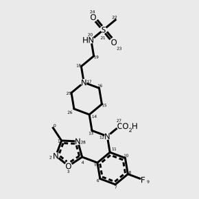 Cc1noc(-c2ccc(F)cc2N(CC2CCN(CCNS(C)(=O)=O)CC2)C(=O)O)n1